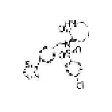 O=C1NCCCC[C@H]1N(Cc1ccc(-c2nccs2)cc1)S(=O)(=O)c1ccc(Cl)cc1